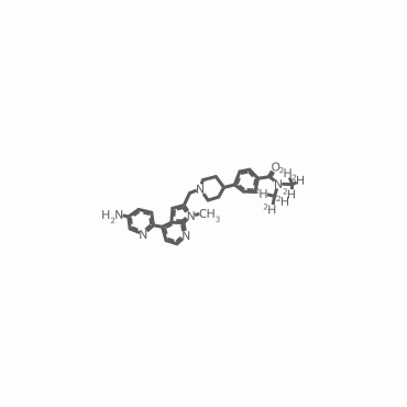 [2H]C([2H])([2H])N(C(=O)c1ccc(C2CCN(Cc3cc4c(-c5ccc(N)cn5)ccnc4n3C)CC2)cc1)C([2H])([2H])[2H]